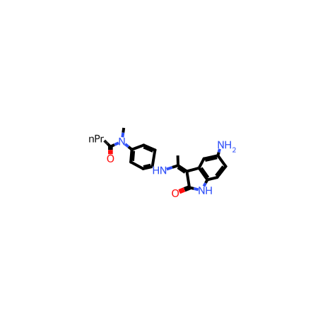 CCCC(=O)N(C)c1ccc(N/C(C)=C2\C(=O)Nc3ccc(N)cc32)cc1